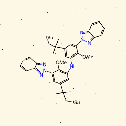 COc1c(Nc2cc(C(C)(C)CC(C)(C)C)cc(-n3nc4ccccc4n3)c2OC)cc(C(C)(C)CC(C)(C)C)cc1-n1nc2ccccc2n1